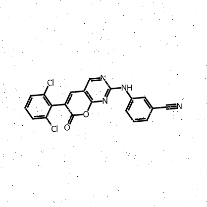 N#Cc1cccc(Nc2ncc3cc(-c4c(Cl)cccc4Cl)c(=O)oc3n2)c1